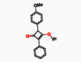 COc1ccc(C2C(=O)C(c3ccccc3)=C2OC(C)C)cc1